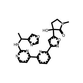 CC(Nc1nccc(-c2cccc(-c3cc(C4(O)CCN(C)C4=O)on3)n2)n1)c1cocn1